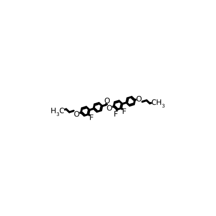 CCCCOc1ccc(-c2ccc(OC(=O)c3ccc(-c4ccc(OCCCC)cc4F)cc3)c(F)c2F)cc1